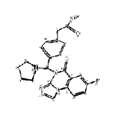 CNC(=O)Cc1ccc(C(N2CCCC2)n2c(=O)c3cc(Br)ccc3n3cnnc23)cc1